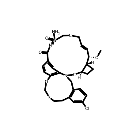 CO[C@H]1/C=C/CCCS(N)(=O)=NC(=O)c2ccc3c(c2)N(Cc2ccc(Cl)cc2CCSCO3)C[C@@H]2CC[C@H]21